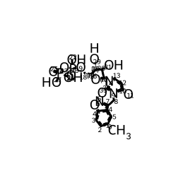 Cc1ccc2onc(Cn3c(=O)ccn([C@@H]4O[C@H](COP(=O)(O)OP(=O)(O)O)[C@H](O)C4O)c3=O)c2c1